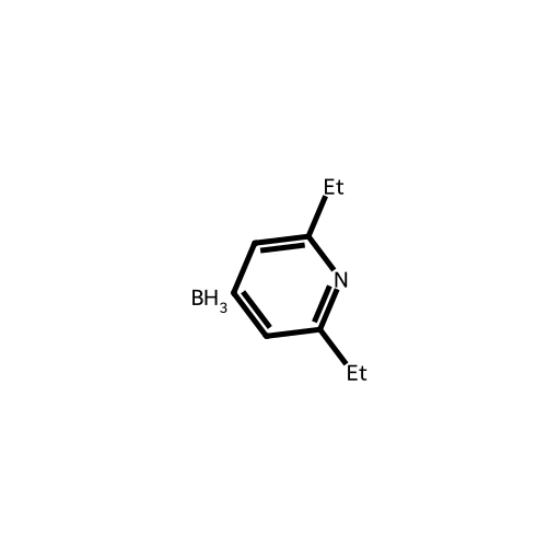 B.CCc1cccc(CC)n1